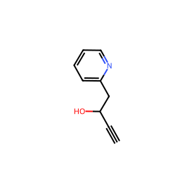 C#CC(O)Cc1ccccn1